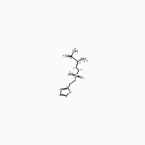 N=S(=O)(CCc1nccs1)CC[C@H](N)C(=O)O